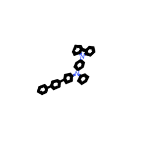 c1ccc(-c2ccc(-c3ccc(N(c4ccccc4)c4ccc(-n5c6ccccc6c6ccccc65)cc4)cc3)cc2)cc1